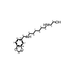 OCCNCCCCCCNCc1ccc2c(c1)OCO2